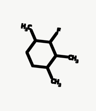 CC1CCC(C)C(F)C1C